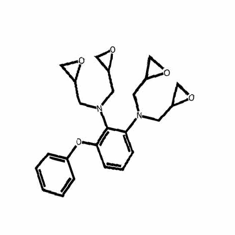 c1ccc(Oc2cccc(N(CC3CO3)CC3CO3)c2N(CC2CO2)CC2CO2)cc1